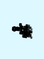 CC(C)(C)[Si](C)(C)OC[C@]1(O)C(=O)[C@H](O)[C@]2(CC(=O)N2OCc2ccccc2)[C@H](O[Si](C)(C)C)[C@@H]1O[Si](C)(C)C(C)(C)C